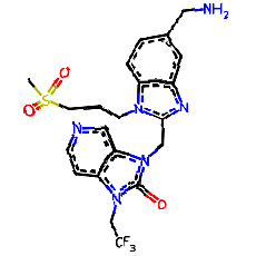 CS(=O)(=O)CCCn1c(Cn2c(=O)n(CC(F)(F)F)c3ccncc32)nc2cc(CN)ccc21